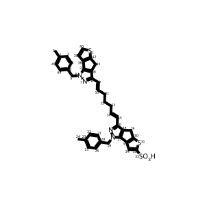 Cc1ccc(Cn2nc(/C=C/CCC/C=C/c3nn(Cc4ccc(C)cc4)c4c3Cc3sc(S(=O)(=O)O)cc3-4)c3c2-c2ccsc2C3)cc1